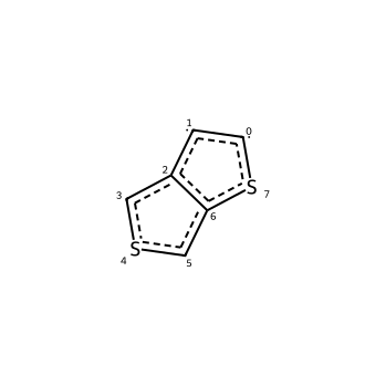 [c]1[c]c2cscc2s1